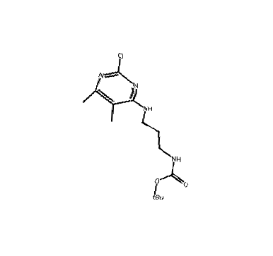 Cc1nc(Cl)nc(NCCCNC(=O)OC(C)(C)C)c1C